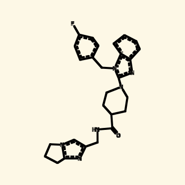 O=C(NCc1cn2c(n1)CCC2)C1CCN(c2nc3ccccc3n2Cc2ccc(F)cc2)CC1